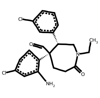 CCN1C[C@@H](c2cccc(Cl)c2)[C@@](C=O)(c2ccc(Cl)cc2N)CCC1=O